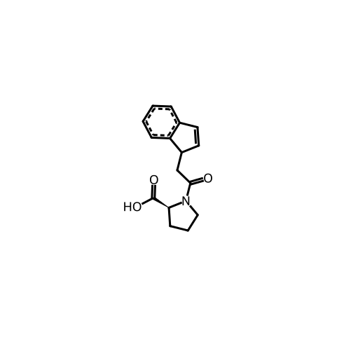 O=C(O)[C@@H]1CCCN1C(=O)CC1C=Cc2ccccc21